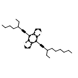 CCCCCCC(C#Cc1c2ccsc2c(C#CC(CC)CCCC)c2ccsc12)CC